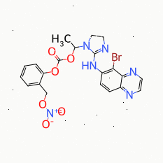 CC(OC(=O)Oc1ccccc1CO[N+](=O)[O-])N1CCN=C1Nc1ccc2nccnc2c1Br